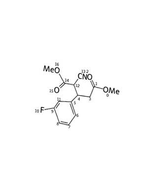 COC(=O)CC(c1cccc(F)c1)C(C#N)C(=O)OC